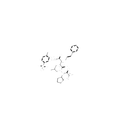 CC(C)C[C@H](C(=O)NN(C(=O)[C@@H](C)N)C1CCCC1)[C@@H](CC=Cc1ccccc1)C(=O)NO.Cc1ccc(S(=O)(=O)O)cc1